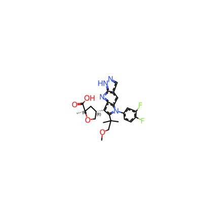 COCC(C)(C)c1c([C@@H]2CO[C@@](C)(C(=O)O)C2)c2nc3[nH]ncc3cc2n1-c1ccc(F)c(F)c1